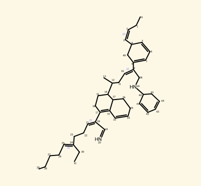 CC/C=C\C1C=CC=C(/C(=C/CC(C)C2CCC(/C(C=N)=C/CC/C(=C/CCCC)CC)=C3C=CCCC32)CNC2C=CC=CC2)C1